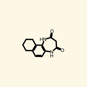 O=C1CC(=O)Nc2c(ccc3c2CCCC3)N1